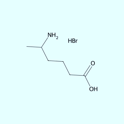 Br.CC(N)CCCC(=O)O